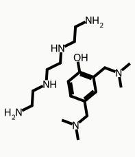 CN(C)Cc1ccc(O)c(CN(C)C)c1.NCCNCCNCCN